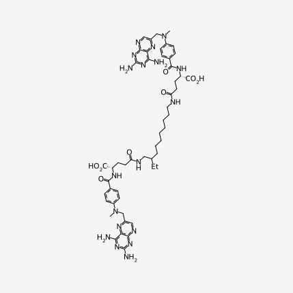 CCC(CCCCCCCCNC(=O)CC[C@H](NC(=O)c1ccc(N(C)Cc2cnc3nc(N)nc(N)c3n2)cc1)C(=O)O)CNC(=O)CC[C@H](NC(=O)c1ccc(N(C)Cc2cnc3nc(N)nc(N)c3n2)cc1)C(=O)O